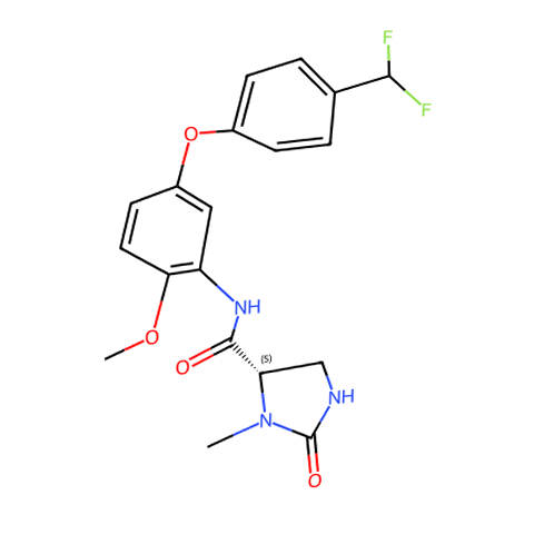 COc1ccc(Oc2ccc(C(F)F)cc2)cc1NC(=O)[C@@H]1CNC(=O)N1C